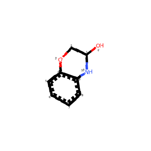 OC1[CH]Oc2ccccc2N1